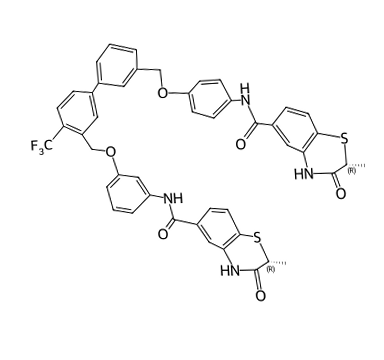 C[C@H]1Sc2ccc(C(=O)Nc3ccc(OCc4cccc(-c5ccc(C(F)(F)F)c(COc6cccc(NC(=O)c7ccc8c(c7)NC(=O)[C@@H](C)S8)c6)c5)c4)cc3)cc2NC1=O